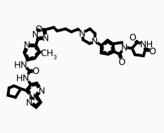 Cc1cc(NC(=O)Nc2cnc3ccnn3c2C2CCCC2)cnc1-c1noc(CCCCCN2CCN(c3ccc4c(c3)CN(C3CCC(=O)NC3=O)C4=O)CC2)n1